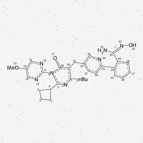 CCCCc1nc(C2CCC2)n(-c2ncc(OC)cn2)c(=O)c1Cc1ccc(-c2ccccc2/C(N)=N\O)nc1